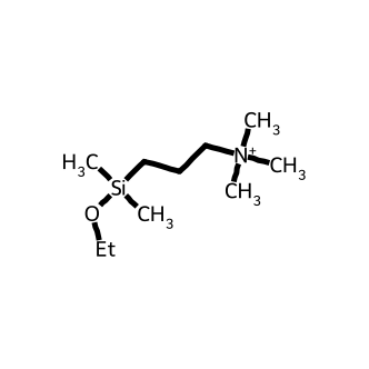 CCO[Si](C)(C)CCC[N+](C)(C)C